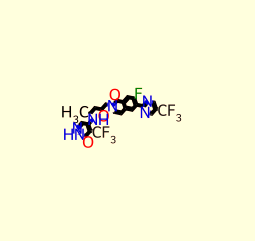 C[C@@H](CC(=O)Cn1ccc2cc(-c3ncc(C(F)(F)F)cn3)c(F)cc2c1=O)Nc1cn[nH]c(=O)c1C(F)(F)F